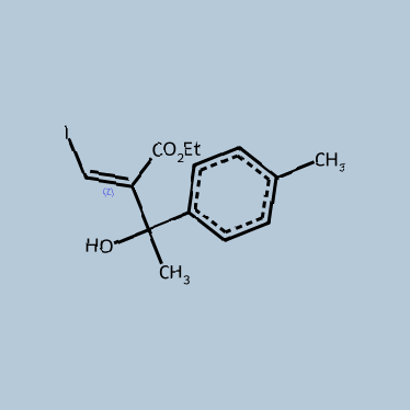 CCOC(=O)/C(=C\I)C(C)(O)c1ccc(C)cc1